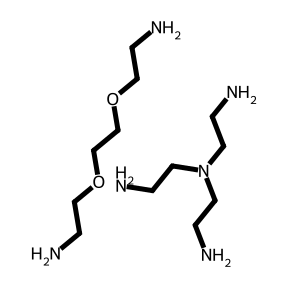 NCCN(CCN)CCN.NCCOCCOCCN